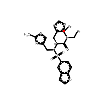 Cc1nc(CN([C@@H](Cc2cscn2)C(=O)N(CC(C)C)CC(C)C)S(=O)(=O)c2ccc3occc3c2)cs1